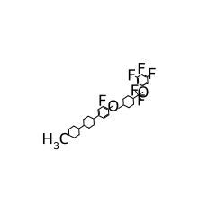 CC1CCC(C2CCC(c3ccc(OCC4CCC(C(F)(F)Oc5cc(F)c(F)c(F)c5)CC4)c(F)c3)CC2)CC1